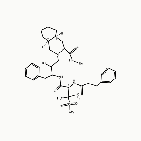 CC(C)(C)NC(=O)C1C[C@@H]2CCCC[C@@H]2CN1CC(O)C(Cc1ccccc1)NC(=O)[C@@H](NC(=O)CCc1ccccc1)C(C)(C)S(C)(=O)=O